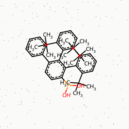 CC(C)(C)c1cccc(C(C)(C)C)c1-c1c(-c2ccccc2)ccc(P(O)O)c1-c1c(C(C)(C)C)cccc1C(C)(C)C